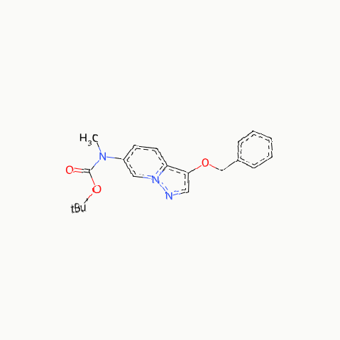 CN(C(=O)OC(C)(C)C)c1ccc2c(OCc3ccccc3)cnn2c1